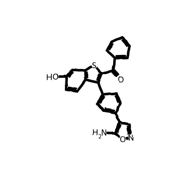 Nc1oncc1-c1ccc(-c2c(C(=O)c3ccccc3)sc3cc(O)ccc23)cc1